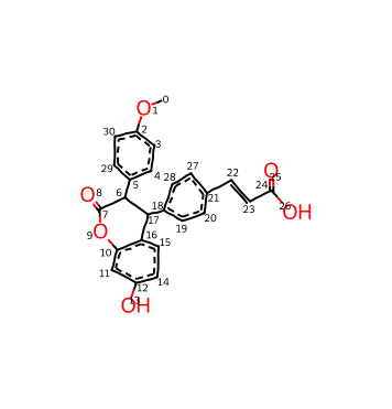 COc1ccc(C2C(=O)Oc3cc(O)ccc3C2c2ccc(/C=C/C(=O)O)cc2)cc1